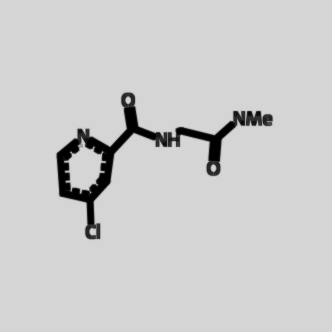 CNC(=O)CNC(=O)c1cc(Cl)ccn1